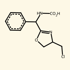 O=C(O)NC(C1=NC(CCl)CO1)c1ccccc1